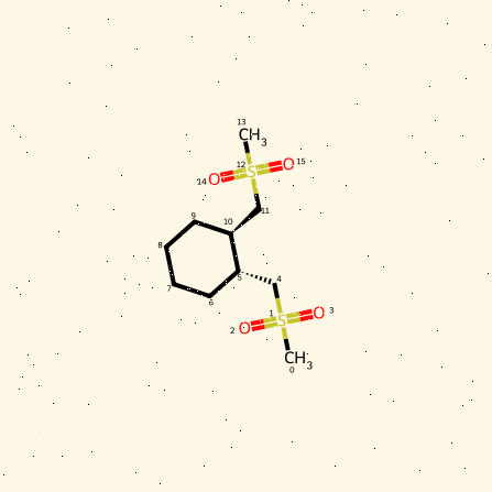 CS(=O)(=O)C[C@@H]1CCCC[C@H]1CS(C)(=O)=O